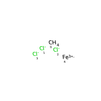 C.[Cl-].[Cl-].[Cl-].[Fe+3]